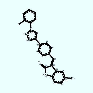 Cc1ccccc1-n1cc(-c2ccc(C=C3C(=O)Nc4ccc(F)cc43)cc2)nn1